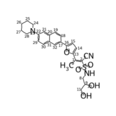 C/C(=C(/C#N)S(=O)(=O)NCC(O)CO)c1ccc(-c2ccc3cc(N4CCCCC4)ccc3c2)o1